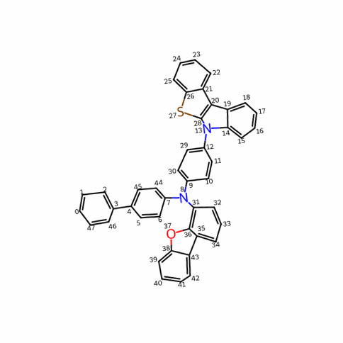 c1ccc(-c2ccc(N(c3ccc(-n4c5ccccc5c5c6ccccc6sc54)cc3)c3cccc4c3oc3ccccc34)cc2)cc1